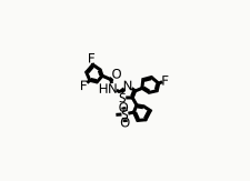 CS(=O)(=O)c1ccccc1-c1sc(NC(=O)c2cc(F)cc(F)c2)nc1-c1ccc(F)cc1